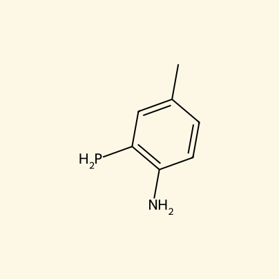 Cc1ccc(N)c(P)c1